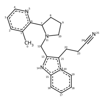 Cc1cccnc1C1CCCN1Cc1nc2ccccn2c1CCC#N